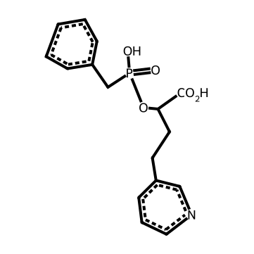 O=C(O)C(CCc1cccnc1)OP(=O)(O)Cc1ccccc1